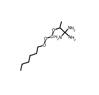 CCCCCCOOOOC(C)C(N)(N)N